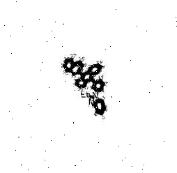 CCc1nc2ccccc2n1-c1cccc(-c2c3ccccc3c(-c3ccc4ccccc4c3)c3ccccc23)c1